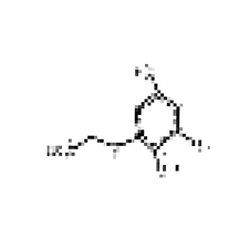 CCOC(=O)COc1cc(C)cc(C)c1C=O